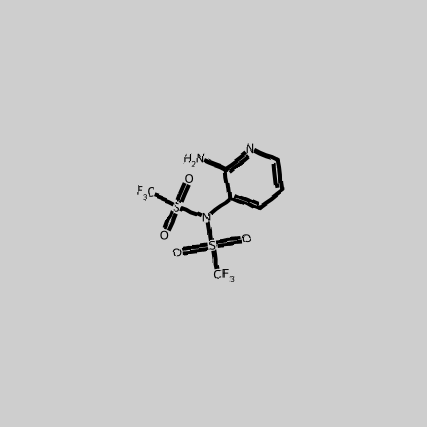 Nc1ncccc1N(S(=O)(=O)C(F)(F)F)S(=O)(=O)C(F)(F)F